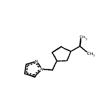 CC(C)C1CCC(Cn2cccn2)C1